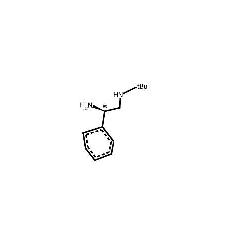 CC(C)(C)NC[C@H](N)c1ccccc1